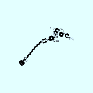 COc1cc(N2CCN(CCCCCCCCCCCCNC(=O)CC34CC5CC(CC(C5)C3)C4)CC2)ccc1Nc1ncc2c(n1)N(c1cccc(NC3CCN(C)CC3)c1)C(O)C=C2C